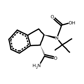 CC(C)(C)N(C(=O)O)[C@@H]1Cc2ccccc2[C@H]1C(N)=O